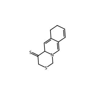 S=C1CSCN2C=C3C=CCCC3=CC12